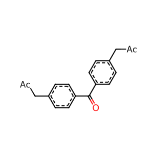 CC(=O)Cc1ccc(C(=O)c2ccc(CC(C)=O)cc2)cc1